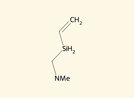 C=C[SiH2]CNC